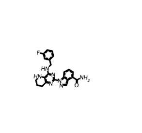 NC(=O)c1cccc2c1cnn2-c1nc2c(c(NCc3cccc(F)c3)n1)NCCC2